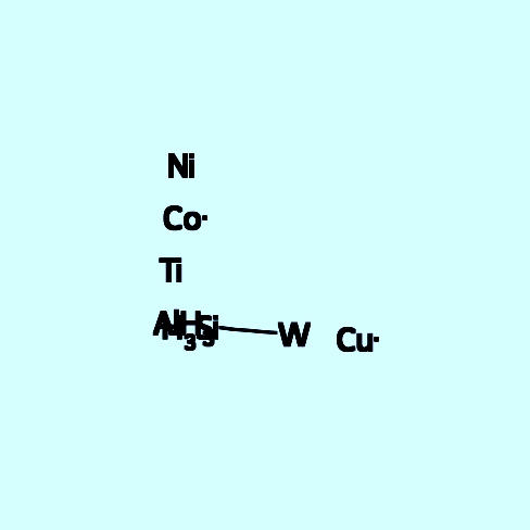 [AlH3].[Co].[Cu].[Ni].[SiH3][W].[Ti]